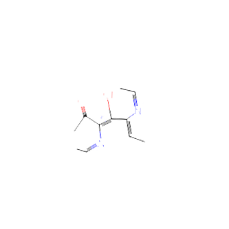 C\C=N/C(=C\C)C(/O)=C(\N=C/C)C(C)=O